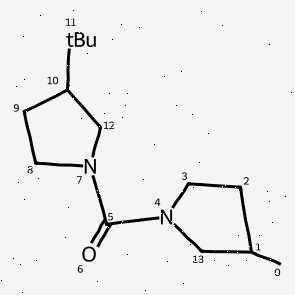 CC1CCN(C(=O)N2CCC(C(C)(C)C)C2)C1